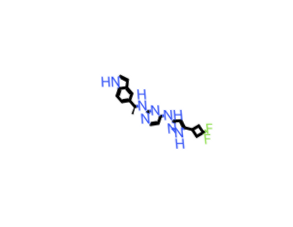 C[C@H](Nc1nccc(Nc2cc(C3CC(F)(F)C3)[nH]n2)n1)c1ccc2[nH]ccc2c1